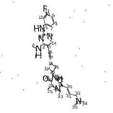 CNc1nc(Nc2cccc(F)c2)ncc1C#C[C@H]1C[C@@H](NC(=O)[C@H](C)N(C)C(=O)/C=C/CN(C)C)C1